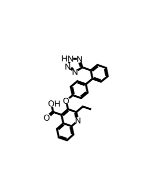 CCc1nc2ccccc2c(C(=O)O)c1Oc1ccc(-c2ccccc2-c2nn[nH]n2)cc1